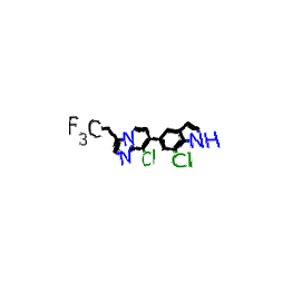 FC(F)(F)Cc1cnc2c(Cl)c(-c3cc(Cl)c4[nH]ccc4c3)ccn12